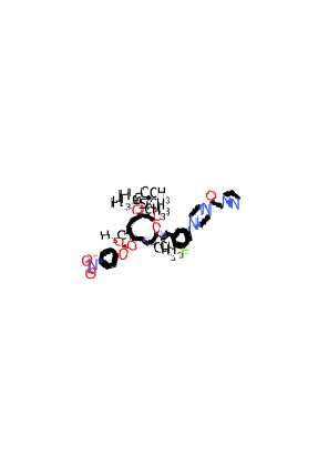 C/C(=C\c1cc(F)cc(N2CCN(C(=O)Cn3cccn3)CC2)c1)[C@H]1OC(=O)C[C@H](O[Si](C)(C)C(C)(C)C)CC[C@H](C)[C@@H](OC(=O)Oc2ccc([N+](=O)[O-])cc2)/C=C/[C@@H]1C